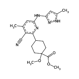 COC(=O)C1(OC)CCC(c2nc(Nc3cc(C)[nH]n3)cc(C)c2C#N)CC1